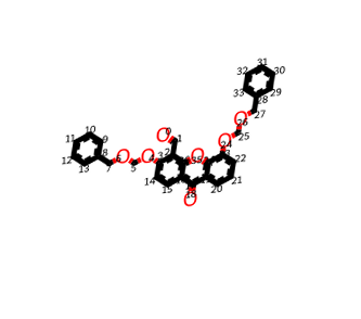 O=Cc1c(OCOCc2ccccc2)ccc2c(=O)c3cccc(OCOCc4ccccc4)c3oc12